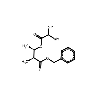 CCCC(CCC)C(=O)O[C@H](C)[C@H](C)C(=O)OCc1ccccc1